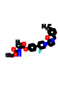 Cc1ccc(CN2CC[C@@H](N3CC[C@@H](c4ccc(OC(=O)C(C)NC(=O)OC(C)(C)C)cc4)[C@H](F)C3)C2=O)cc1